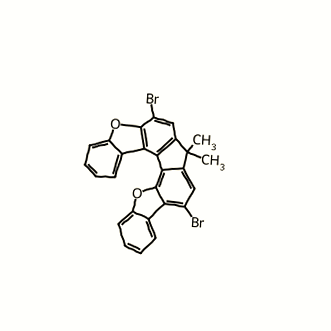 CC1(C)c2cc(Br)c3c(oc4ccccc43)c2-c2c1cc(Br)c1oc3ccccc3c21